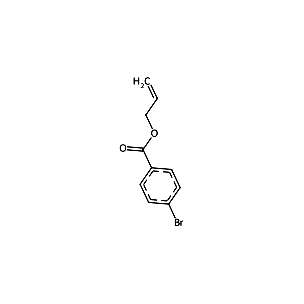 C=CCOC(=O)c1ccc(Br)cc1